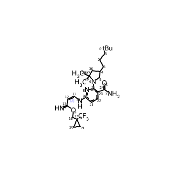 CC(C)(C)CCCC1CN(c2nc(N/C=C\C(=N)OCC3(C(F)(F)F)CC3)ccc2C(N)=O)C(C)(C)C1